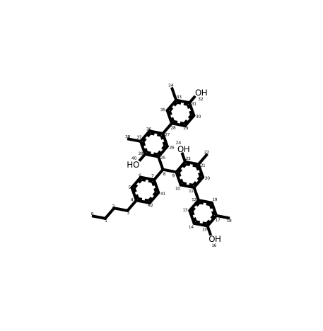 CCCCc1ccc(C(c2cc(-c3ccc(O)c(C)c3)cc(C)c2O)c2cc(-c3ccc(O)c(C)c3)cc(C)c2O)cc1